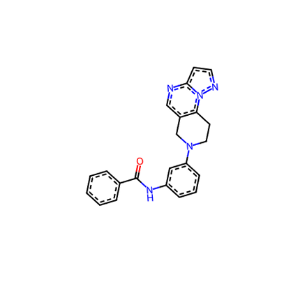 O=C(Nc1cccc(N2CCc3c(cnc4ccnn34)C2)c1)c1ccccc1